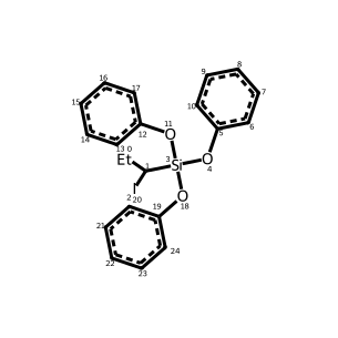 CCC(I)[Si](Oc1ccccc1)(Oc1ccccc1)Oc1ccccc1